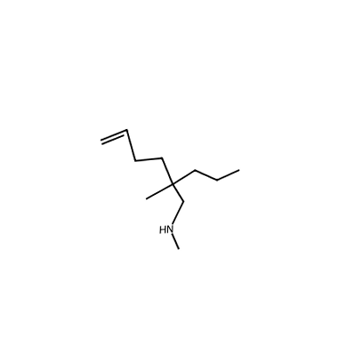 C=CCCC(C)(CCC)CNC